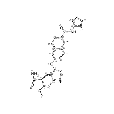 COc1cc2nccc(Oc3ccc4cc(C(=O)Nc5nccs5)ccc4c3)c2cc1C(N)=O